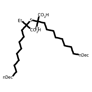 CCCCCCCCCCCCCCCCCCC(CC)(SC(CC)(CCCCCCCCCCCCCCCCCC)C(=O)O)C(=O)O